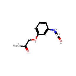 COC(=O)COc1cccc(N=C=O)c1